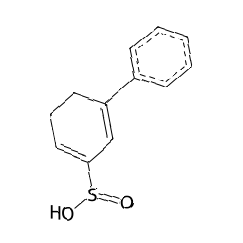 O=S(O)C1=CCCC(c2ccccc2)=C1